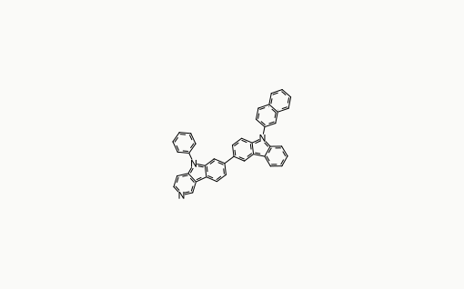 c1ccc(-n2c3ccncc3c3ccc(-c4ccc5c(c4)c4ccccc4n5-c4ccc5ccccc5c4)cc32)cc1